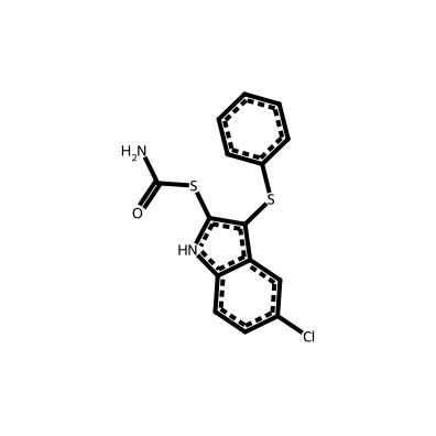 NC(=O)Sc1[nH]c2ccc(Cl)cc2c1Sc1ccccc1